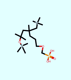 CC(CCCOCP(=O)(O)O)(CC(C)(C)O[Si](C)(C)C)C[Si](C)(C)C